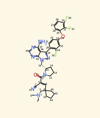 CN(C)CC1(/C=C(\C#N)C(=O)N2CCC[C@H]2Cn2nc(-c3ccc(Oc4cccc(F)c4F)cc3F)c3c(N)ncnc32)CCCC1